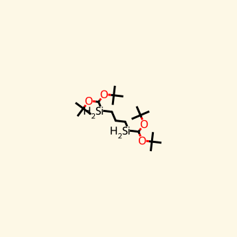 CC(C)(C)OC(OC(C)(C)C)[SiH2]CCC[SiH2]C(OC(C)(C)C)OC(C)(C)C